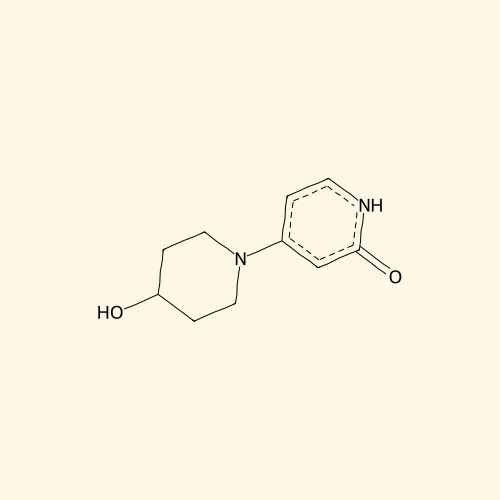 O=c1cc(N2CCC(O)CC2)cc[nH]1